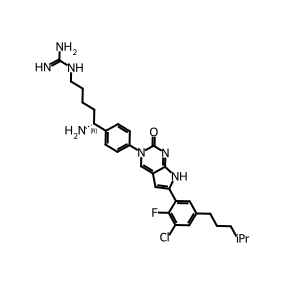 CC(C)CCCc1cc(Cl)c(F)c(-c2cc3cn(-c4ccc([C@H](N)CCCCNC(=N)N)cc4)c(=O)nc3[nH]2)c1